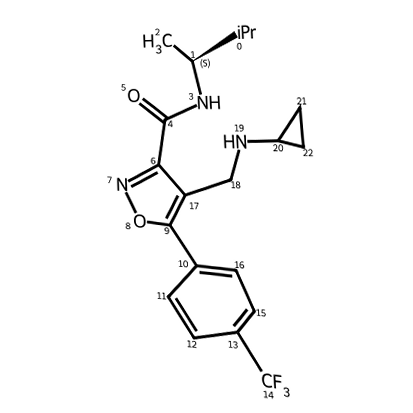 CC(C)[C@H](C)NC(=O)c1noc(-c2ccc(C(F)(F)F)cc2)c1CNC1CC1